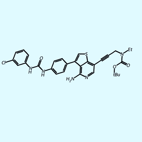 CCN(CC#Cc1cnc(N)c2c(-c3ccc(NC(=O)Nc4cccc(Cl)c4)cc3)csc12)C(=O)OC(C)(C)C